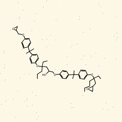 CCCCC(CC)(CC1CO1)Oc1ccc(C(C)(C)c2ccc(OCC(O)CC(CC)(CCC)Oc3ccc(C(C)(C)c4ccc(OCC5CO5)cc4)cc3)cc2)cc1